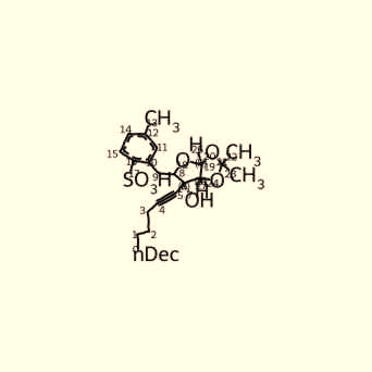 CCCCCCCCCCCCCC#C[C@@]1(O)C(Cc2cc(C)ccc2S(=O)(=O)O)O[C@@H]2OC(C)(C)O[C@@H]21